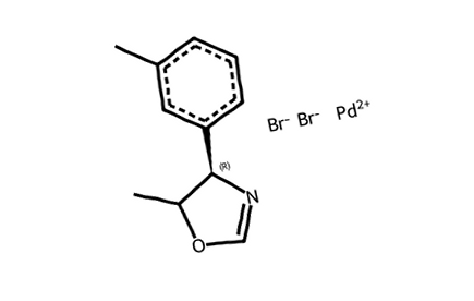 Cc1cccc([C@H]2N=COC2C)c1.[Br-].[Br-].[Pd+2]